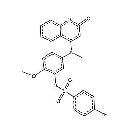 COc1ccc(N(C)c2cc(=O)oc3ccccc23)cc1OS(=O)(=O)c1ccc(F)cc1